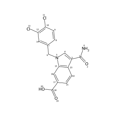 NC(=O)c1cn(Cc2ccc(Cl)c(Cl)c2)c2cc(C(=O)O)ccc12